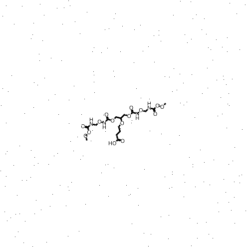 COOC(=O)NCONC(=O)OCC(COC(=O)NOCNC(=O)OOC)OCCCC(=O)O